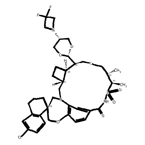 C[C@@H]1[C@@H](C)CCC[C@H]([C@H]2OC[C@@H](N3CC(F)(F)C3)CO2)[C@@H]2CC[C@H]2CN2C[C@@]3(CCCc4cc(Cl)ccc43)COc3ccc(cc32)C(=O)NS1(=O)=O